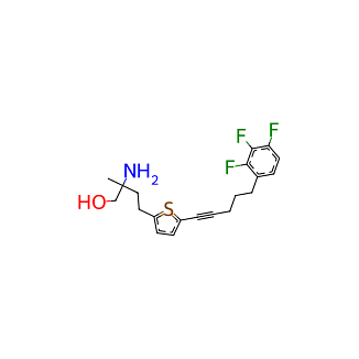 CC(N)(CO)CCc1ccc(C#CCCCc2ccc(F)c(F)c2F)s1